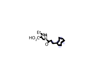 CCNC(CNC(=O)/C=C/C1=C\C=C/C=C/C=C\1)C(=O)O